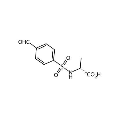 C[C@@H](NS(=O)(=O)c1ccc(C=O)cc1)C(=O)O